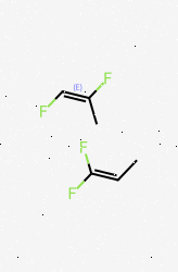 C/C(F)=C\F.CC=C(F)F